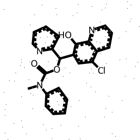 CN(C(=O)OC(c1ccccn1)c1cc(Cl)c2cccnc2c1O)c1ccccc1